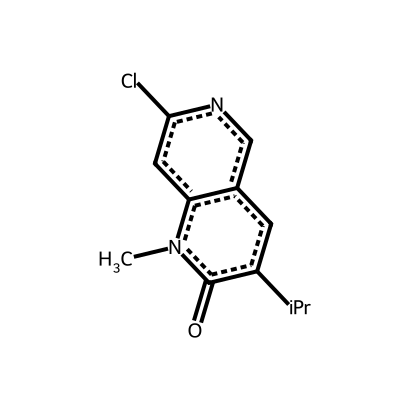 CC(C)c1cc2cnc(Cl)cc2n(C)c1=O